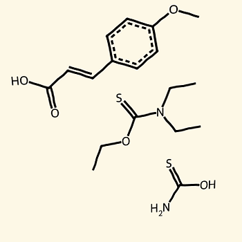 CCOC(=S)N(CC)CC.COc1ccc(C=CC(=O)O)cc1.NC(O)=S